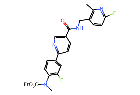 CCOC(=O)N(C)c1ccc(-c2ccc(C(=O)NCc3ccc(F)nc3C)cn2)cc1F